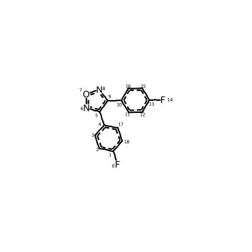 Fc1ccc(-c2nonc2-c2ccc(F)cc2)cc1